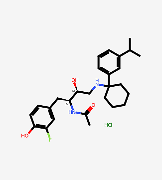 CC(=O)N[C@@H](Cc1ccc(O)c(F)c1)[C@@H](O)CNC1(c2cccc(C(C)C)c2)CCCCC1.Cl